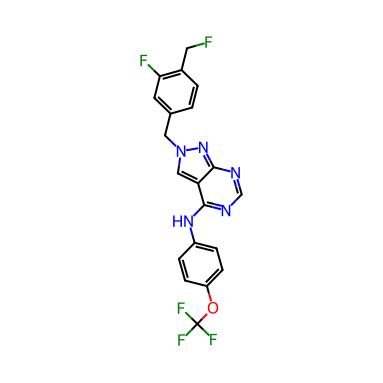 FCc1ccc(Cn2cc3c(Nc4ccc(OC(F)(F)F)cc4)ncnc3n2)cc1F